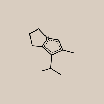 Cc1cn2c(c1C(C)C)CCC2